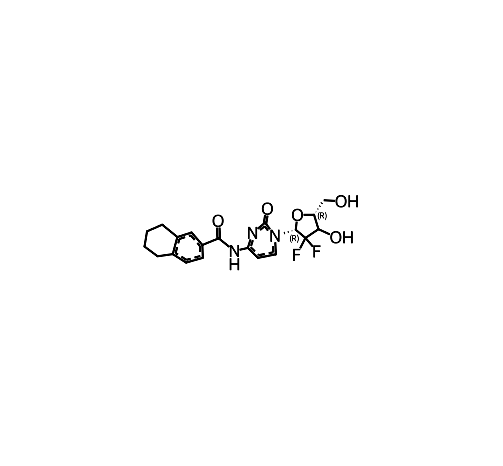 O=C(Nc1ccn([C@@H]2O[C@H](CO)C(O)C2(F)F)c(=O)n1)c1ccc2c(c1)CCCC2